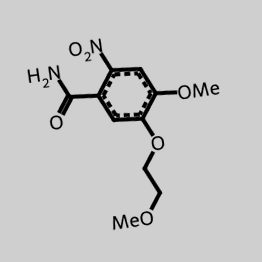 COCCOc1cc(C(N)=O)c([N+](=O)[O-])cc1OC